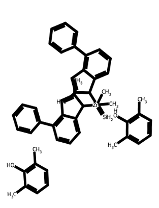 CC1=Cc2c(-c3ccccc3)cccc2[CH]1[Zr]([CH3])([CH3])(=[SiH2])[CH]1C(C)=Cc2c(-c3ccccc3)cccc21.Cc1cccc(C)c1O.Cc1cccc(C)c1O